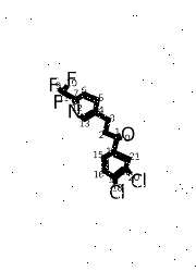 O=C(CCc1ccc(C(F)(F)F)nc1)c1ccc(Cl)c(Cl)c1